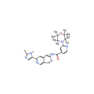 [2H]C1([2H])OC([2H])([2H])C([2H])([2H])N(c2cc(C(=O)Nc3cc4cc(-c5cnc(C)n5C)ncc4cn3)ccn2)C1([2H])[2H]